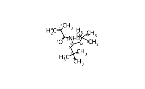 C=C(C)C(=O)NC(CC(C)(C)C)CC(C)(C)C